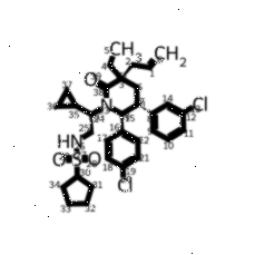 C=CC[C@@]1(CC)C[C@H](c2cccc(Cl)c2)[C@@H](c2ccc(Cl)cc2)N([C@@H](CNS(=O)(=O)C2CCCC2)C2CC2)C1=O